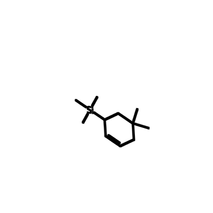 CC1(C)CC=CC([Si](C)(C)C)C1